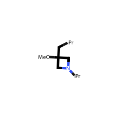 COC1(CC(C)C)CN(C(C)C)C1